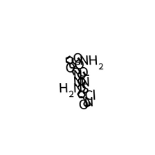 CC(=O)c1nc(Sc2cccc(-c3ncco3)c2Cl)c(N)nc1N1CCC2(CC1)Oc1ccccc1[C@H]2OC(N)=O